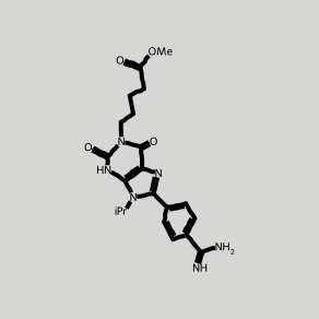 COC(=O)CCCCn1c(=O)[nH]c2c(nc(-c3ccc(C(=N)N)cc3)n2C(C)C)c1=O